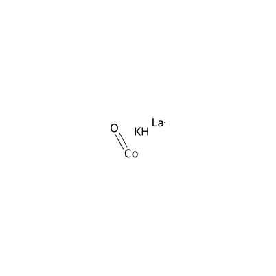 [KH].[La].[O]=[Co]